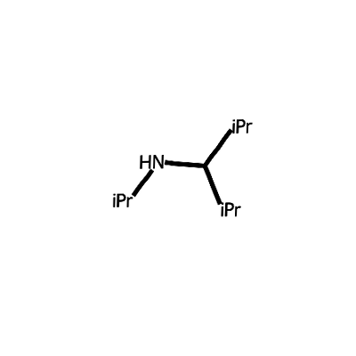 CC(C)NC(C(C)C)C(C)C